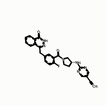 C#Cc1cnc(N[C@@H]2CCN(C(=O)c3cc(Cc4n[nH]c(=O)c5ccccc45)ccc3F)C2)nc1